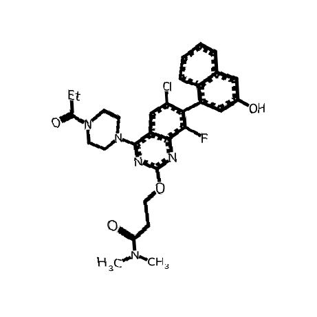 CCC(=O)N1CCN(c2nc(OCCC(=O)N(C)C)nc3c(F)c(-c4cc(O)cc5ccccc45)c(Cl)cc23)CC1